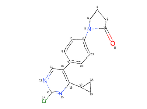 O=C1CCCN1c1ccc(-c2cnc(Cl)nc2C2CC2)cc1